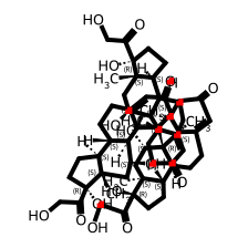 C[C@]12CCC(=O)C=C1CC[C@H]1[C@@H]3CC[C@](O)(C(=O)CO)[C@@]3(C)C[C@H](O)[C@@]12C1CC(=O)C=C2CC[C@H]3[C@@H]4CC[C@](O)(C(=O)CO)[C@@]4(C)C[C@H](O)[C@]3(C3CC(=O)C=C4CC[C@@H]5[C@H]([C@@H](O)C[C@@]6(C)[C@H]5CC[C@]6(O)C(=O)CO)[C@]43C)[C@]21C